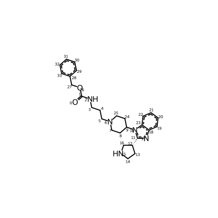 O=C(NCCCN1CCC(n2c([C@@H]3CCNC3)nc3ccccc32)CC1)OCc1ccccc1